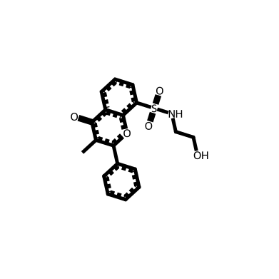 Cc1c(-c2ccccc2)oc2c(S(=O)(=O)NCCO)cccc2c1=O